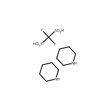 C1CCNCC1.C1CCNCC1.O=S(=O)(O)C(F)(F)S(=O)(=O)O